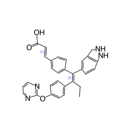 CC/C(=C(/c1ccc(/C=C/C(=O)O)cc1)c1ccc2c(c1)CNN2)c1ccc(Oc2ncccn2)cc1